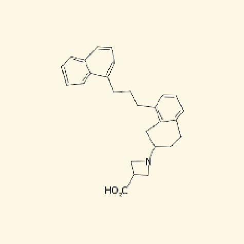 O=C(O)C1CN(C2CCc3cccc(CCCc4cccc5ccccc45)c3C2)C1